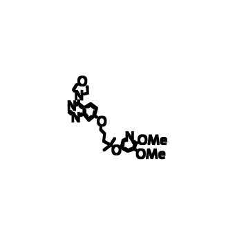 COc1cc(OC(C)(C)CCCOc2ccc3c(N4CCOCC4)ncnc3c2)cnc1OC